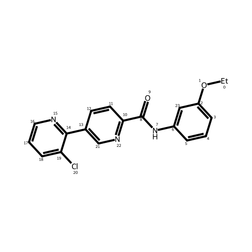 CCOc1cccc(NC(=O)c2ccc(-c3ncccc3Cl)cn2)c1